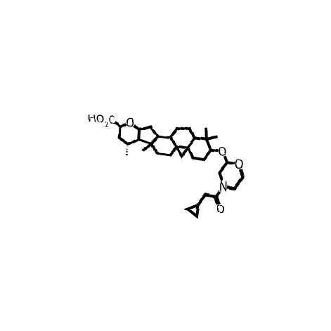 C[C@@H]1CC(C(=O)O)OC2CC3C4CCC5C(C)(C)C(OC6CN(C(=O)CC7CC7)CCO6)CCC56CC46CCC3(C)C21